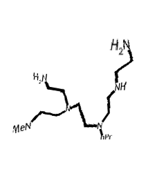 CCCN(CCNCCN)CCN(CCN)CCNC